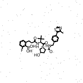 Cc1ncsc1-c1ccc(CNC(=O)[C@@H]2C[C@@H](O)CN2C(=O)[C@@H](NC(=O)CCc2cccc(F)c2B(O)O)C(C)(C)C)cc1